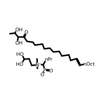 CCCC(P(=O)=O)[N+](C)(C)CCC(O)O.CCCCCCCCC=CCCCCCCCCCCCC(=O)C(O)C(C)O